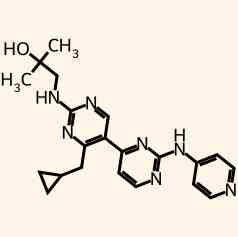 CC(C)(O)CNc1ncc(-c2ccnc(Nc3ccncc3)n2)c(CC2CC2)n1